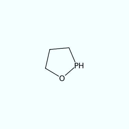 C1COPC1